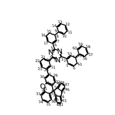 C1=CC(c2nc(C3=CC(c4ccccc4)CC=C3)nc(-c3cccc(-c4ccc5c(c4)Oc4ccccc4C54c5ccccc5-c5ccccc54)c3)n2)=CC(c2ccccc2)C1